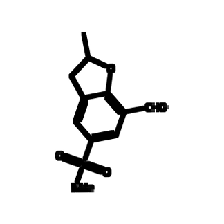 CNS(=O)(=O)c1cc([C]=O)c2c(c1)CC(C)O2